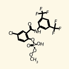 COOP(=O)(O)Oc1ccc(Cl)cc1C(=O)Nc1cc(C(F)(F)F)cc(C(F)(F)F)c1